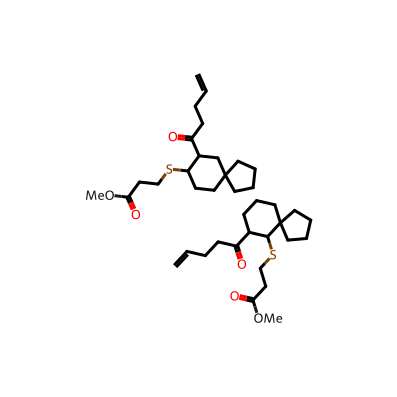 C=CCCC(=O)C1CC2(CCCC2)CCC1SCCC(=O)OC.C=CCCC(=O)C1CCCC2(CCCC2)C1SCCC(=O)OC